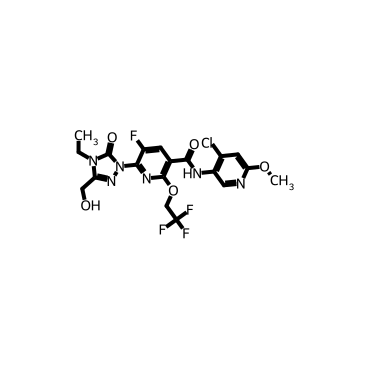 CCn1c(CO)nn(-c2nc(OCC(F)(F)F)c(C(=O)Nc3cnc(OC)cc3Cl)cc2F)c1=O